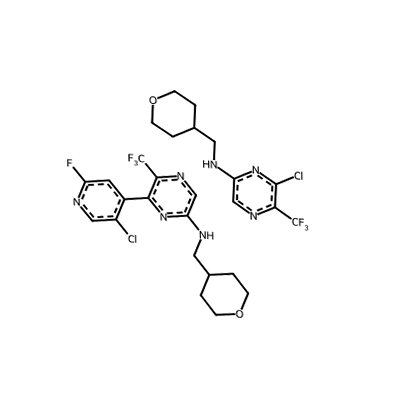 FC(F)(F)c1ncc(NCC2CCOCC2)nc1Cl.Fc1cc(-c2nc(NCC3CCOCC3)cnc2C(F)(F)F)c(Cl)cn1